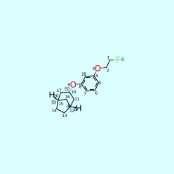 FCCOc1cccc(O[C@@H]2C[C@@H]3CC[C@@H](C3)C2)c1